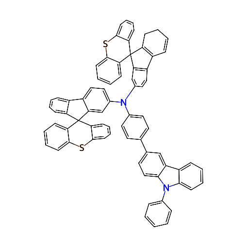 C1=CC2=C(CC1)C1(c3ccccc3Sc3ccccc31)c1cc(N(c3ccc(-c4ccc5c(c4)c4ccccc4n5-c4ccccc4)cc3)c3ccc4c(c3)C3(c5ccccc5Sc5ccccc53)c3ccccc3-4)ccc12